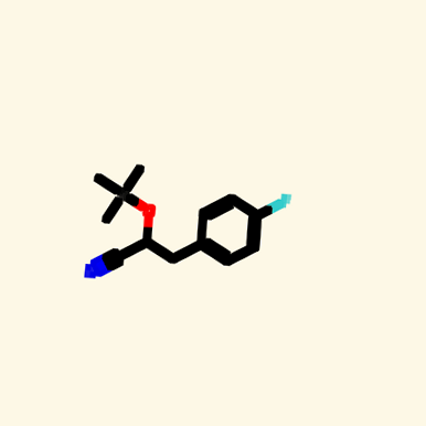 C[Si](C)(C)OC(C#N)Cc1ccc(F)cc1